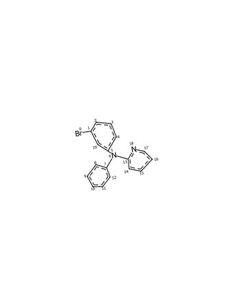 Brc1cccc(N(c2ccccc2)c2ccccn2)c1